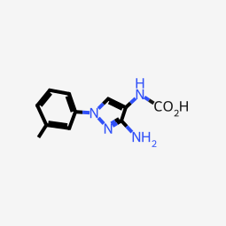 Cc1cccc(-n2cc(NC(=O)O)c(N)n2)c1